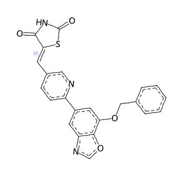 O=C1NC(=O)/C(=C/c2ccc(-c3cc(OCc4ccccc4)c4ocnc4c3)nc2)S1